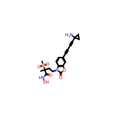 CC(CCn1c(=O)oc2cc(C#CC#CC3(N)CC3)ccc21)(C(=O)NO)S(C)(=O)=O